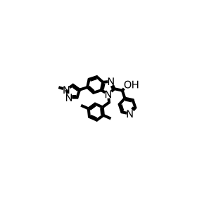 Cc1ccc(C)c(Cn2c(C(O)c3ccncc3)nc3ccc(-c4cnn(C)c4)cc32)c1